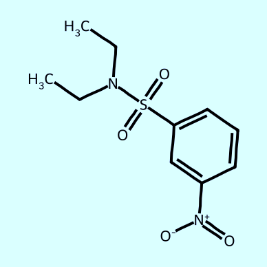 CCN(CC)S(=O)(=O)c1cccc([N+](=O)[O-])c1